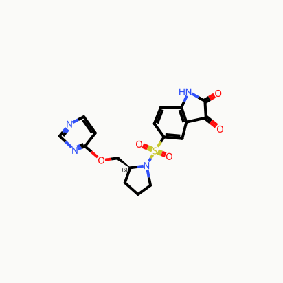 O=C1Nc2ccc(S(=O)(=O)N3CCC[C@H]3COc3ccncn3)cc2C1=O